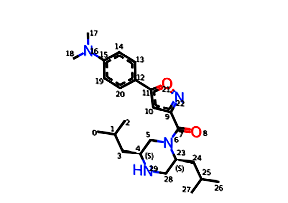 CC(C)C[C@H]1CN(C(=O)c2cc(-c3ccc(N(C)C)cc3)on2)[C@@H](CC(C)C)CN1